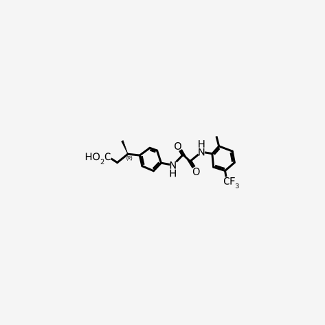 Cc1ccc(C(F)(F)F)cc1NC(=O)C(=O)Nc1ccc([C@H](C)CC(=O)O)cc1